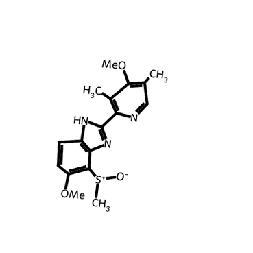 COc1ccc2[nH]c(-c3ncc(C)c(OC)c3C)nc2c1[S+](C)[O-]